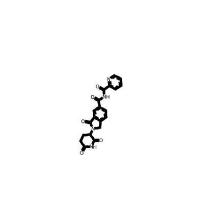 O=C1CCC(N2Cc3ccc(C(=O)NC(=O)c4ccccn4)cc3C2=O)C(=O)N1